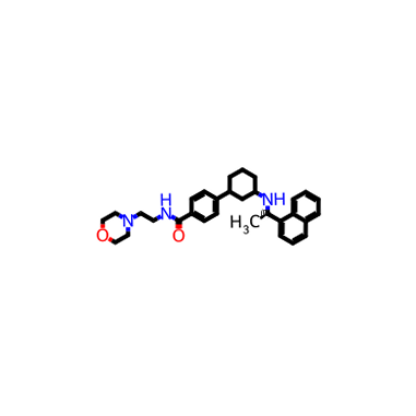 C[C@@H](NC1CCCC(c2ccc(C(=O)NCCN3CCOCC3)cc2)C1)c1cccc2ccccc12